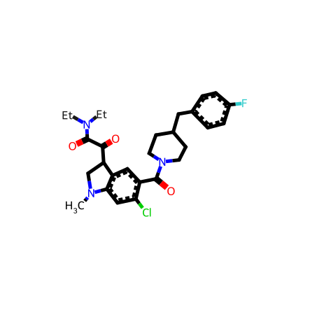 CCN(CC)C(=O)C(=O)C1CN(C)c2cc(Cl)c(C(=O)N3CCC(Cc4ccc(F)cc4)CC3)cc21